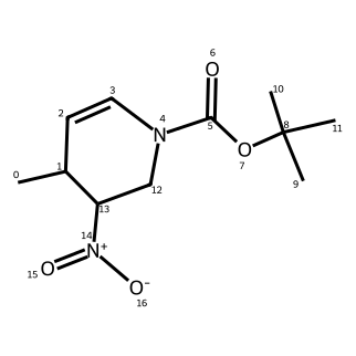 CC1C=CN(C(=O)OC(C)(C)C)CC1[N+](=O)[O-]